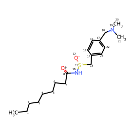 CCCCCCCCC(=O)N[S@+]([O-])Cc1ccc(CN(C)C)cc1